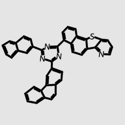 c1ccc2cc(-c3nc(-c4ccc5ccc6ccccc6c5c4)nc(-c4cccc5c4ccc4c6ncccc6sc54)n3)ccc2c1